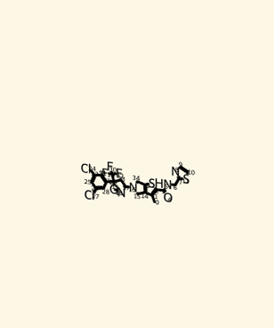 Cc1c(C(=O)NCc2nccs2)sc2c1CN(C1=NOC(c3cc(Cl)cc(Cl)c3)(C(F)(F)F)C1)C2